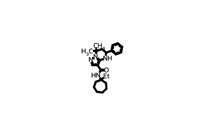 CCC1(NC(=O)c2cnn3c2NC(c2ccccc2)CC3(C)C)CCCCCC1